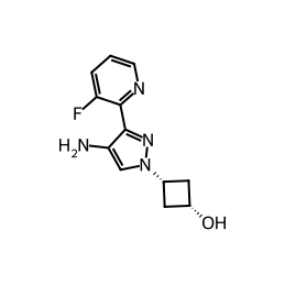 Nc1cn([C@H]2C[C@@H](O)C2)nc1-c1ncccc1F